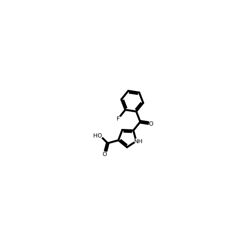 O=C(O)c1c[nH]c(C(=O)c2ccccc2F)c1